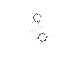 Cc1cc(C)c(S(=O)(=O)O)c(C)c1.Nc1ccc[n+](N)c1N